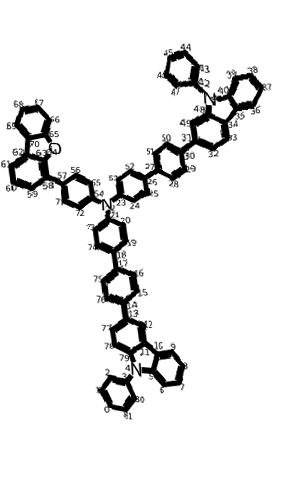 c1ccc(-n2c3ccccc3c3cc(-c4ccc(-c5ccc(N(c6ccc(-c7ccc(-c8ccc9c%10ccccc%10n(-c%10ccccc%10)c9c8)cc7)cc6)c6ccc(-c7cccc8c7oc7ccccc78)cc6)cc5)cc4)ccc32)cc1